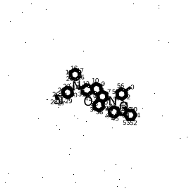 Cc1ccc(N(c2cc3ccc4cc(N(c5ccccc5)c5ccc([Si](C)(C)C)cc5)cc5c4c3c3c(cccc23)O5)c2cccc3c2oc2ccccc23)cc1